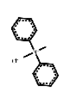 C[N+](C)(c1ccccc1)c1ccccc1.[Cl-]